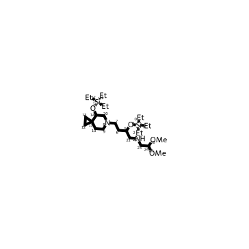 CC[Si](CC)(CC)OC(CCN1CCC2(CC2)C(O[Si](CC)(CC)CC)C1)CNCC(OC)OC